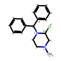 CN1CCN(C(c2ccccc2)c2ccccc2)C(Cl)C1